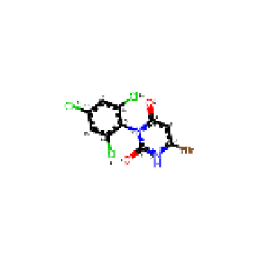 O=c1cc(Br)[nH]c(=O)n1-c1c(Cl)cc(Cl)cc1Cl